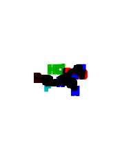 COc1cc(CNC(=O)n2c3c(c4cc(C#N)ccc42)CN(C/C=C/c2ccc(Br)cc2F)CC3)ccn1.Cl